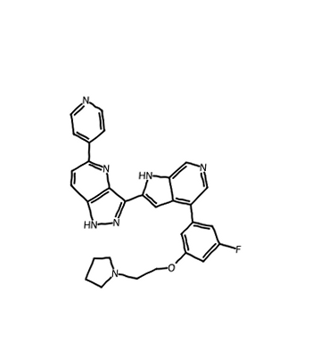 Fc1cc(OCCN2CCCC2)cc(-c2cncc3[nH]c(-c4n[nH]c5ccc(-c6ccncc6)nc45)cc23)c1